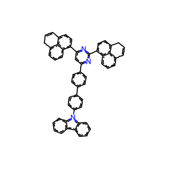 C1=Cc2ccc(-c3cc(-c4ccc(-c5ccc(-n6c7ccccc7c7ccccc76)cc5)cc4)nc(-c4ccc5c6c(cccc46)C=CC5)n3)c3cccc(c23)C1